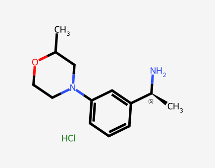 CC1CN(c2cccc([C@H](C)N)c2)CCO1.Cl